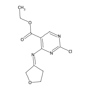 CCOC(=O)c1cnc(Cl)nc1/N=C1\CCOC1